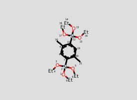 CCO[Si](OCC)(OCC)c1cc(C)c([Si](OCC)(OCC)OCC)cc1C